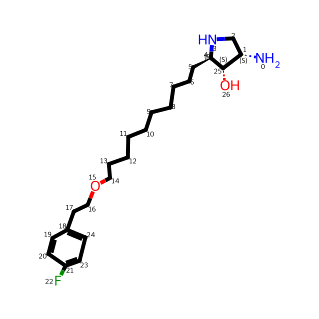 N[C@H]1CN[C@H](CCCCCCCCCCOCCc2ccc(F)cc2)[C@H]1O